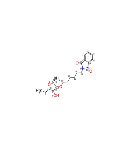 B[C@@H]1O[C@H](CC)[C@H](O)C1OCCCCCCN1C(=O)c2ccccc2C1=O